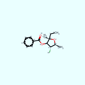 B[C@@H]1O[C@@](C)(CC)C(OC(=O)c2ccccc2)[C@H]1F